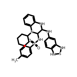 Cc1ccc(S(=O)(=O)NC2C(Nc3ccc4c(c3)NSN4)Nc3ccccc3N2C2CCCCC2)cc1